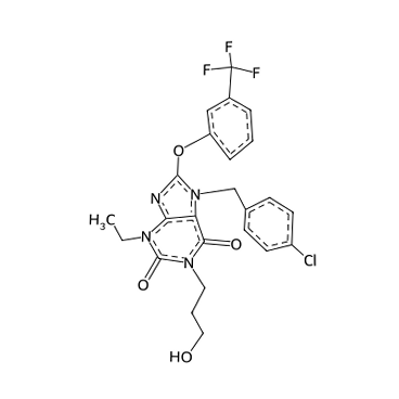 CCn1c(=O)n(CCCO)c(=O)c2c1nc(Oc1cccc(C(F)(F)F)c1)n2Cc1ccc(Cl)cc1